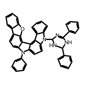 c1ccc(C2=NC(n3c4ccccc4c4c5c6c7oc8ccccc8c7ccc6n(-c6ccccc6)c5ccc43)NC(c3ccccc3)N2)cc1